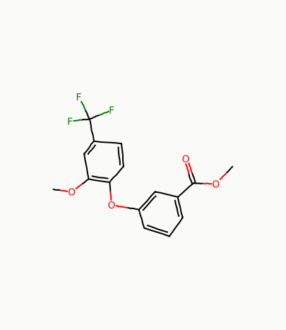 COC(=O)c1cccc(Oc2ccc(C(F)(F)F)cc2OC)c1